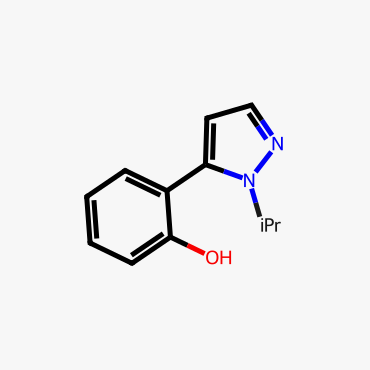 CC(C)n1nccc1-c1ccccc1O